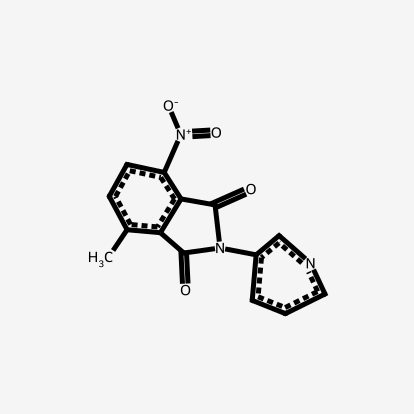 Cc1ccc([N+](=O)[O-])c2c1C(=O)N(c1cccnc1)C2=O